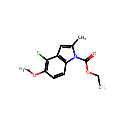 CCOC(=O)n1c(C)cc2c(F)c(OC)ccc21